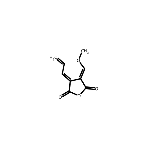 C=C/C=C1/C(=O)OC(=O)/C1=C/OC